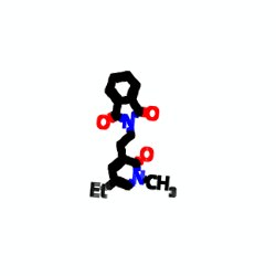 CCc1cc(CCN2C(=O)c3ccccc3C2=O)c(=O)n(C)c1